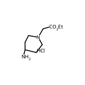 CCOC(=O)CN1CCC(N)CC1.Cl